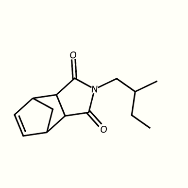 CCC(C)CN1C(=O)C2C3C=CC(C3)C2C1=O